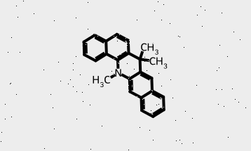 CN1c2cc3ccccc3cc2C(C)(C)c2ccc3ccccc3c21